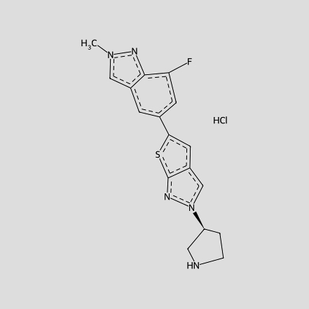 Cl.Cn1cc2cc(-c3cc4cn([C@H]5CCNC5)nc4s3)cc(F)c2n1